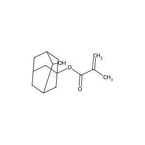 C=C(C)C(=O)OC12CC3CC(C1)C(O)C(C3)C2